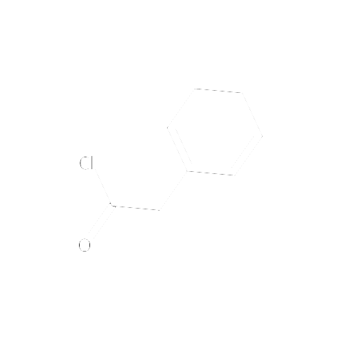 O=C(Cl)CC1=CCCC=C1